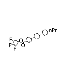 CCC[C@H]1CC[C@H](C2CCC(c3ccc(C(=O)Oc4cc(F)c(F)c(F)c4)cc3)CC2)CC1